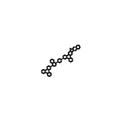 c1ccc2cc3c(cc2c1)sc1cc2c4ccc(-c5ccc(-c6ccc(-c7ccc8c9ccccc9c9ccccc9c8c7)c7ccccc67)cc5)cc4c4ccccc4c2cc13